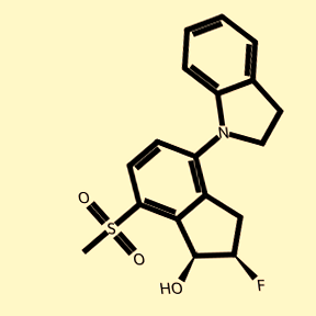 CS(=O)(=O)c1ccc(N2CCc3ccccc32)c2c1[C@H](O)[C@H](F)C2